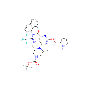 Cc1cccc2cccc(-n3c(C(F)(F)F)nc4c(N5[C@@H](C)CN(C(=O)OC(C)(C)C)C[C@@H]5C)nc(OC[C@@H]5CCCN5C)nc4c3=O)c12